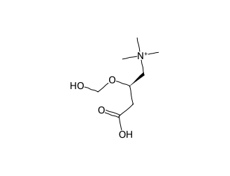 C[N+](C)(C)C[C@@H](CC(=O)O)OCO